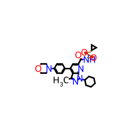 Cc1nn(C2CCCCC2)c2nc(C(=O)NS(=O)(=O)C3CC3)cc(-c3ccc(N4CCOCC4)cc3)c12